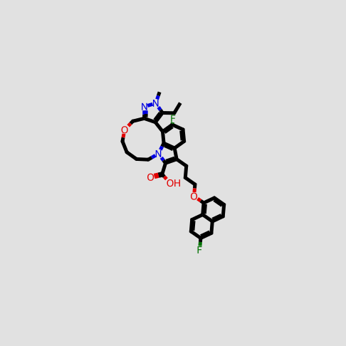 CCc1c2c(nn1C)COCCCCn1c(C(=O)O)c(CCCOc3cccc4cc(F)ccc34)c3ccc(F)c-2c31